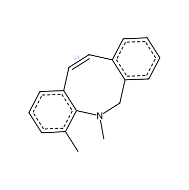 Cc1cccc2c1N(C)Cc1ccccc1/C=C\2